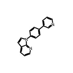 c1cncc(-c2ccc(-n3ccc4cccnc43)cc2)c1